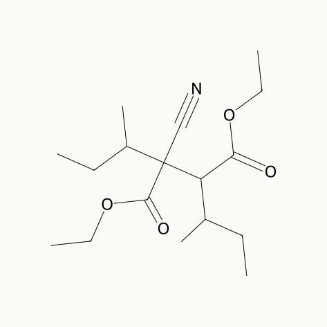 CCOC(=O)C(C(C)CC)C(C#N)(C(=O)OCC)C(C)CC